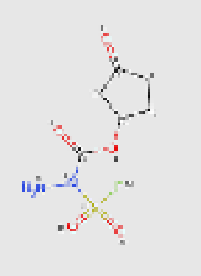 NN(C(=O)OC1CCC(=O)C1)S(=O)(=O)F